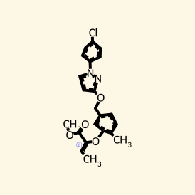 C/C=C(\Oc1cc(COc2ccn(-c3ccc(Cl)cc3)n2)ccc1C)C(=O)OC